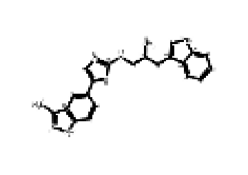 Nc1n[nH]c2ccc(-c3cnc(NCC(N)Cc4c[nH]c5ccccc45)s3)cc12